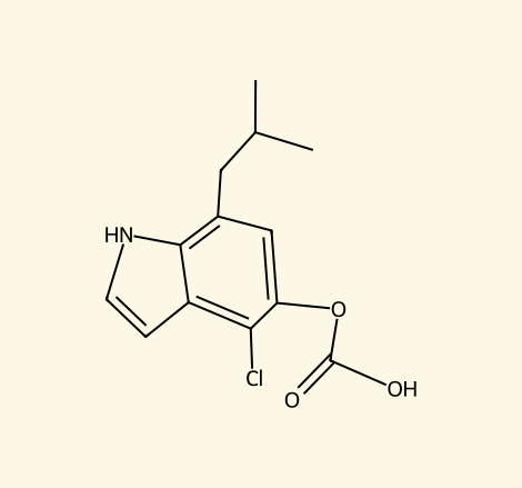 CC(C)Cc1cc(OC(=O)O)c(Cl)c2cc[nH]c12